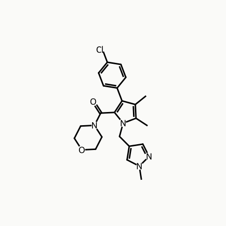 Cc1c(-c2ccc(Cl)cc2)c(C(=O)N2CCOCC2)n(Cc2cnn(C)c2)c1C